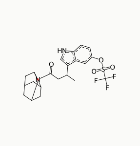 CC(CC(=O)N1C2CC3CC(C2)CC1C3)c1c[nH]c2ccc(OS(=O)(=O)C(F)(F)F)cc12